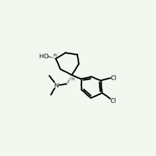 CN(C)C[C@@]1(c2ccc(Cl)c(Cl)c2)CCC[C@@H](O)C1